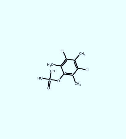 Cc1c(Cl)c(C)c(OP(=O)(O)O)c(C)c1Cl